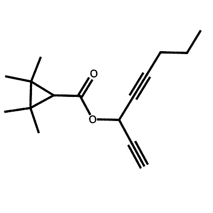 C#CC(C#CCCC)OC(=O)C1C(C)(C)C1(C)C